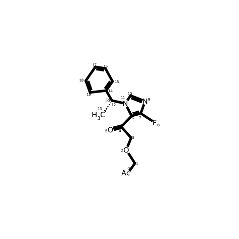 CC(=O)COCC(=O)c1c(F)ncn1[C@H](C)c1ccccc1